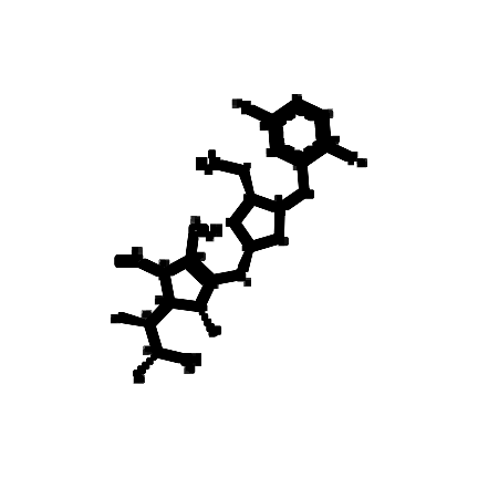 C[C@H]1C(S[C@H]2C[C@@H](CN)N(Cc3cc(F)ccc3F)C2)=C(C(=O)O)N(C=O)C1[C@H](C)[C@@H](C)O